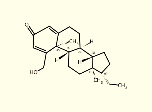 CC[C@H]1CC[C@H]2[C@@H]3CCC4=CC(=O)C=C(CO)[C@]4(C)[C@H]3CC[C@]12C